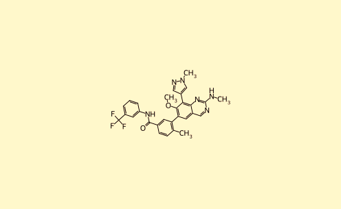 CNc1ncc2cc(-c3cc(C(=O)Nc4cccc(C(F)(F)F)c4)ccc3C)c(OC)c(-c3cnn(C)c3)c2n1